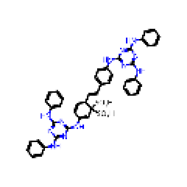 O=S(=O)(O)C1(S(=O)(=O)O)C=C(Nc2nc(Nc3ccccc3)nc(Nc3ccccc3)n2)C=CC1C=Cc1ccc(Nc2nc(Nc3ccccc3)nc(Nc3ccccc3)n2)cc1